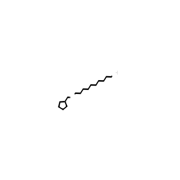 OCCCCCCCCCCOCC1CCCC1